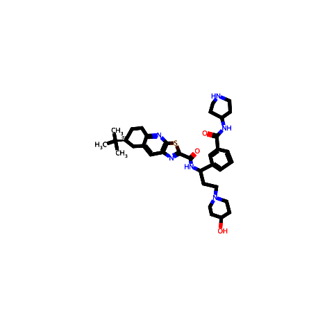 CC(C)(C)[C@H]1CCc2nc3sc(C(=O)NC(CCN4CCC(O)CC4)c4cccc(C(=O)NC5CCNCC5)c4)nc3cc2C1